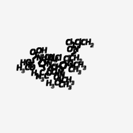 C=CCN(CC=C)C(=O)C(Cl)Cl.CC(C)Oc1cc(-n2nc(C(C)(C)C)oc2=O)c(Cl)cc1Cl.CCc1cccc(C)c1N(C(=O)CCl)C(C)COC.CP(=O)(O)CCC(N)C(=O)O